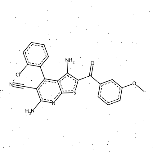 COc1cccc(C(=O)c2sc3nc(N)c(C#N)c(-c4ccccc4Cl)c3c2N)c1